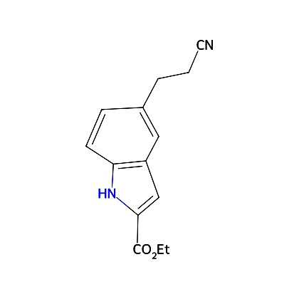 CCOC(=O)c1cc2cc(CCC#N)ccc2[nH]1